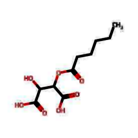 CCCCCC(=O)OC(C(=O)O)C(O)C(=O)O